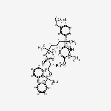 CCOC(=O)Cc1cccc([C@@](C)(CCCC(C)(C)CS(=O)(=O)CCO[Si](c2ccccc2)(c2ccccc2)C(C)(C)C)C(=O)NN(C)C(=O)OC(C)(C)C)c1